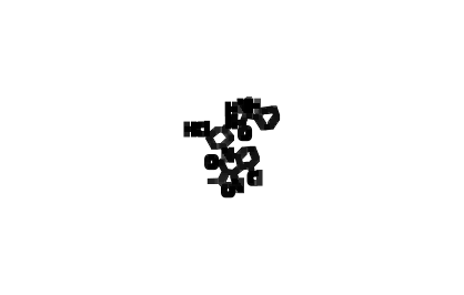 CNC(C(=O)NC1CCCC(n2c(=O)c3c(C)onc3c3c(Cl)cccc32)C1)c1ccccc1.Cl